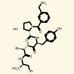 CC[C@H](C)[C@H](NC(=O)[C@H](Cc1ccc(O)cc1)NC(=O)[C@@H]1CCCN1C(=O)c1cccc(CN)c1)C(=O)N[C@@H](CC(C)C)C(=O)O.Cl